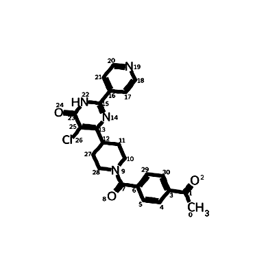 CC(=O)c1ccc(C(=O)N2CCC(c3nc(-c4ccncc4)[nH]c(=O)c3Cl)CC2)cc1